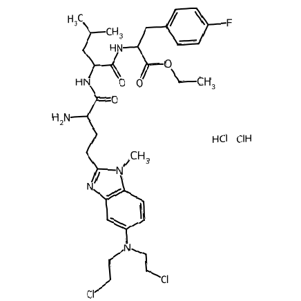 CCOC(=O)C(Cc1ccc(F)cc1)NC(=O)C(CC(C)C)NC(=O)C(N)CCc1nc2cc(N(CCCl)CCCl)ccc2n1C.Cl.Cl